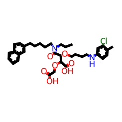 CCCN(CCCCCc1ccc2ccccc2c1)C(=O)C(OCCCCNc1ccc(C)c(Cl)c1)C(OCC(=O)O)C(=O)O